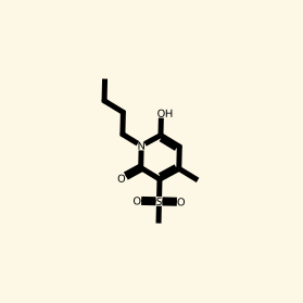 CCCCn1c(O)cc(C)c(S(C)(=O)=O)c1=O